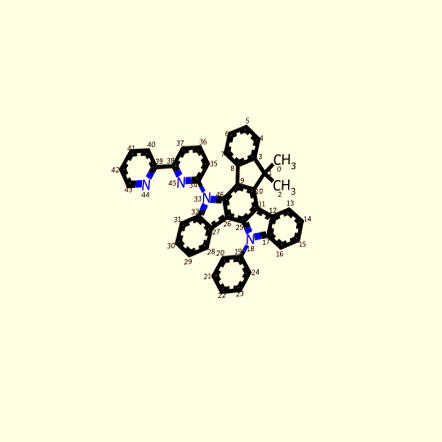 CC1(C)c2ccccc2-c2c1c1c3ccccc3n(-c3ccccc3)c1c1c3ccccc3n(-c3cccc(-c4ccccn4)n3)c21